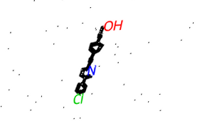 OCC#Cc1ccc(C#Cc2ccc(-c3ccc(Cl)cc3)cn2)cc1